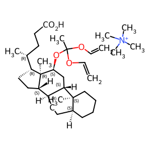 C=COC(C)(OC=C)O[C@H]1C[C@H]2[C@@H](CC[C@@H]3CCCC[C@@]32C)[C@@H]2CC[C@H]([C@H](C)CCC(=O)O)[C@@]12C.C[N+](C)(C)C